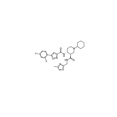 Cc1csc(CNC(=O)[C@@H]2CN(C3CCCCC3)CC[C@H]2NC(=O)c2cc(-c3ccc(F)cc3F)on2)n1